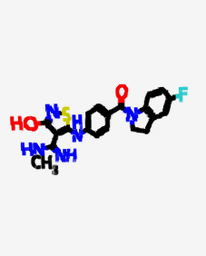 CNC(=N)c1c(O)nsc1Nc1ccc(C(=O)N2CCc3cc(F)ccc32)cc1